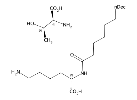 CCCCCCCCCCCCCCCC(=O)N[C@@H](CCCCN)C(=O)O.C[C@@H](O)[C@H](N)C(=O)O